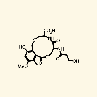 COc1cc(O)c2c(c1C)C(=O)OC[C@H](NC(=O)CCO)C(=O)N[C@H](C(=O)O)CSC2